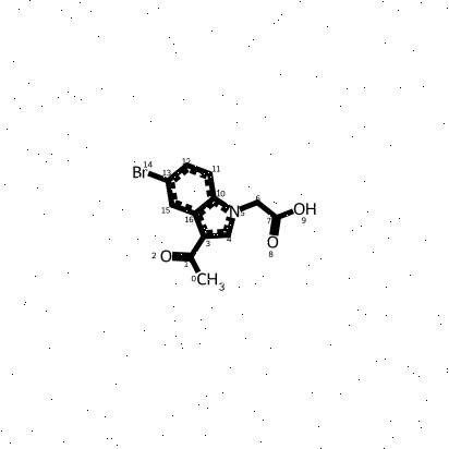 CC(=O)c1cn(CC(=O)O)c2ccc(Br)cc12